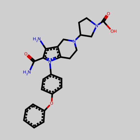 NC(=O)c1c(N)c2c(n1-c1ccc(Oc3ccccc3)cc1)CCN(C1CCN(C(=O)O)C1)C2